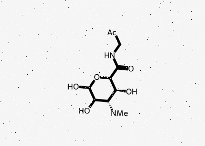 CN[C@@H]1C(O)C(O)OC(C(=O)NCC(C)=O)[C@H]1O